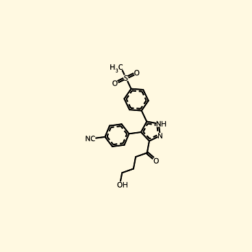 CS(=O)(=O)c1ccc(-c2[nH]nc(C(=O)CCCO)c2-c2ccc(C#N)cc2)cc1